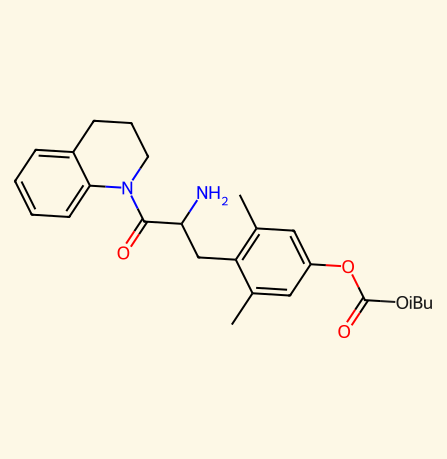 Cc1cc(OC(=O)OCC(C)C)cc(C)c1CC(N)C(=O)N1CCCc2ccccc21